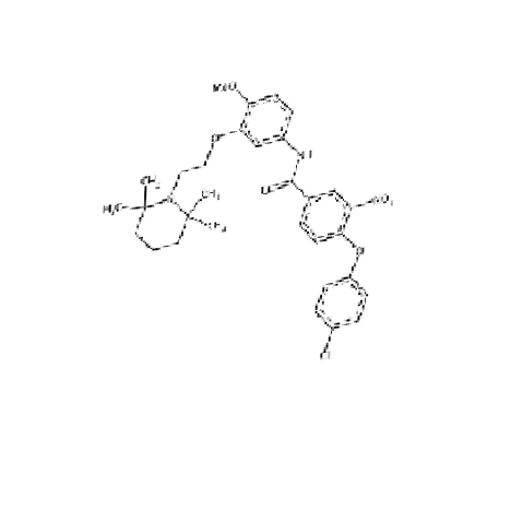 COc1ccc(NC(=O)c2ccc(Oc3ccc(Cl)cc3)c([N+](=O)[O-])c2)cc1OCCN1C(C)(C)CCCC1(C)C